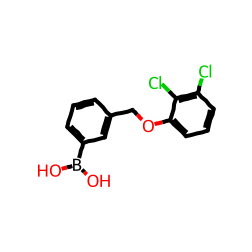 OB(O)c1cccc(COc2cccc(Cl)c2Cl)c1